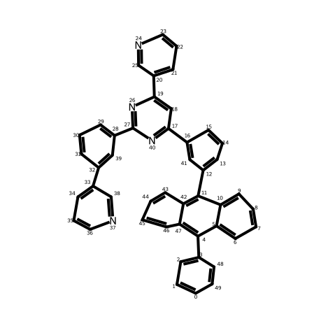 c1ccc(-c2c3ccccc3c(-c3cccc(-c4cc(-c5cccnc5)nc(-c5cccc(-c6cccnc6)c5)n4)c3)c3ccccc23)cc1